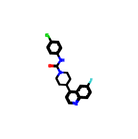 O=C(Nc1ccc(Cl)cc1)N1CCC(c2ccnc3ccc(F)cc23)CC1